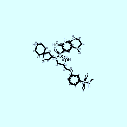 CNS(=O)(=O)c1cccc(OC[C@@H](O)CN(C2COC3(CCNCC3)C2)S(=O)(=O)c2cc3c(nc2O)OCCN3C)c1